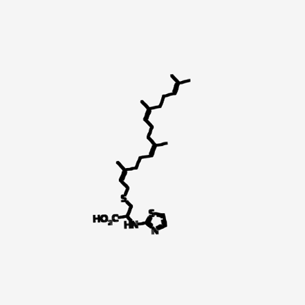 CC(C)=CCCC(C)=CCCC(C)=CCCC(C)=CCSCC(Nc1nccs1)C(=O)O